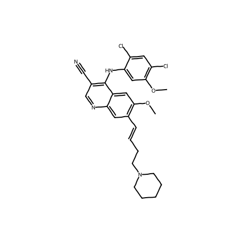 COc1cc(Nc2c(C#N)cnc3cc(C=CCCN4CCCCC4)c(OC)cc23)c(Cl)cc1Cl